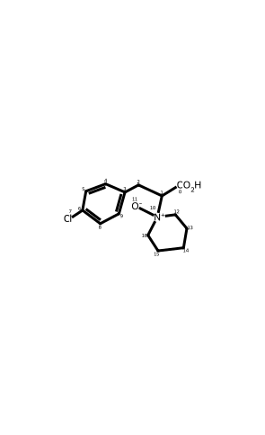 O=C(O)C(Cc1ccc(Cl)cc1)[N+]1([O-])CCCCC1